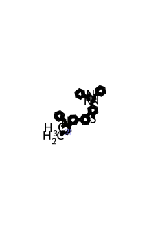 C=C/C=C\c1c(C)n(-c2ccccc2)c2ccc(-c3ccc4sc5ccc(-c6nc(-c7ccccc7)nc(-c7ccccc7)n6)cc5c4c3)cc12